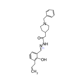 C=CCc1c#ccc(/C=N/NC(=O)CC2CCN(Cc3ccccc3)CC2)c1O